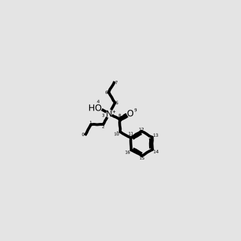 CCC[N+](O)(CCC)C(=O)[CH]c1ccccc1